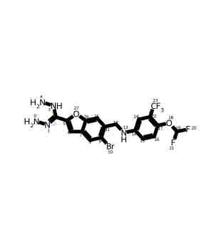 N/N=C(\NN)c1cc2cc(Br)c(CNc3ccc(OC(F)F)c(C(F)(F)F)c3)cc2o1